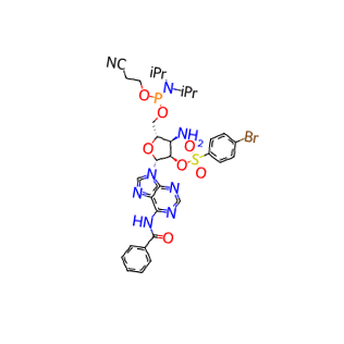 CC(C)N(C(C)C)P(OCCC#N)OC[C@H]1O[C@@H](n2cnc3c(NC(=O)c4ccccc4)ncnc32)[C@H](OS(=O)(=O)c2ccc(Br)cc2)[C@@H]1N